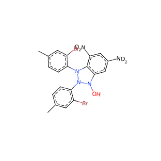 Cc1ccc(N2c3c(cc([N+](=O)[O-])cc3[N+](=O)[O-])N(O)N2c2ccc(C)cc2Br)c(Br)c1